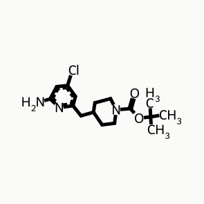 CC(C)(C)OC(=O)N1CCC(Cc2cc(Cl)cc(N)n2)CC1